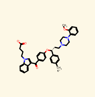 COc1ccccc1N1CCN(CC[C@@H](Oc2ccc(C(=O)c3cn(CCCC(=O)[O-])c4ccccc34)cc2)c2ccc(C)cc2)CC1.[K+]